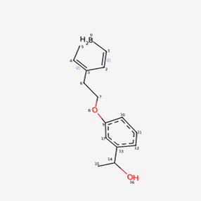 B/C=C\C(=C/C)CCOc1cccc(C(C)O)c1